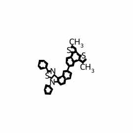 Cc1cc2c(s1)c1ccc(-c3ccc4ccc5c(c4c3)C3N=C(c4ccccc4)SC3N5c3ccccc3)cc1c1c(C)csc21